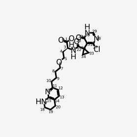 O=C(O)[C@H](CCOCCCCc1ccc2c(n1)NCCC2)NC(=O)C1(c2c(Cl)nc[nH]c2=O)CC1